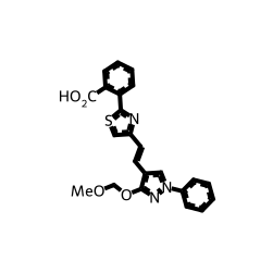 COCOc1nn(-c2ccccc2)cc1/C=C/c1csc(-c2ccccc2C(=O)O)n1